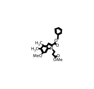 COC(=O)CCn1c(C(=O)OCc2ccccc2)cc2c(C)c(C)c(OC)cc21